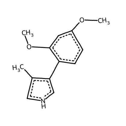 COc1ccc(-c2c[nH]cc2C)c(OC)c1